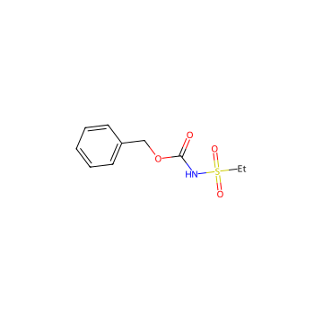 CCS(=O)(=O)NC(=O)OCc1ccccc1